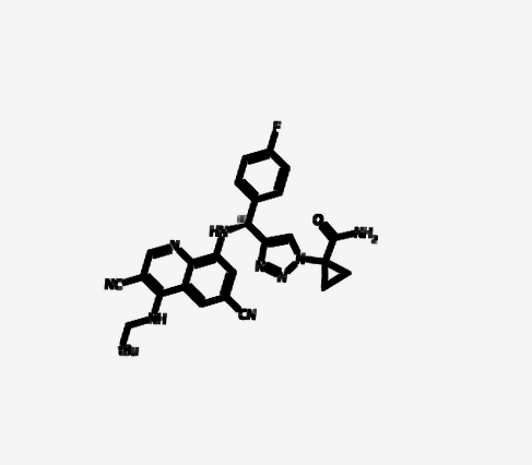 CC(C)(C)CNc1c(C#N)cnc2c(N[C@@H](c3ccc(F)cc3)c3cn(C4(C(N)=O)CC4)nn3)cc(C#N)cc12